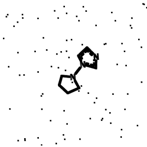 c1cn(N2CCCC2)cn1